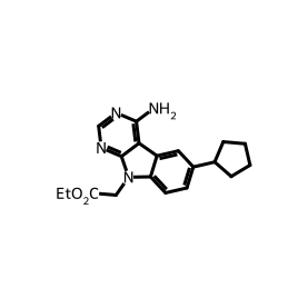 CCOC(=O)Cn1c2ccc(C3CCCC3)cc2c2c(N)ncnc21